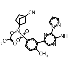 Cc1ccc(S(=O)(=O)N(OC(=O)C(F)(F)F)C23CCC(C#N)(C2)C3)cc1-c1cnc(N)c(-n2cccn2)n1